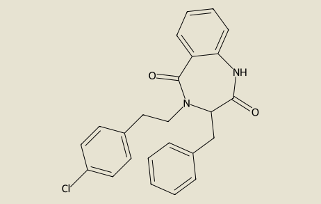 O=C1Nc2ccccc2C(=O)N(CCc2ccc(Cl)cc2)C1Cc1ccccc1